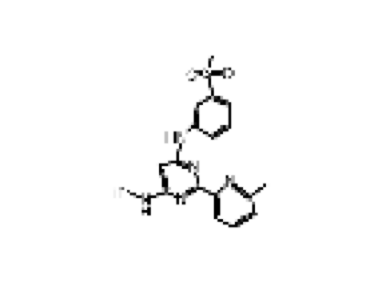 Cc1cccc(-c2nc(Nc3cccc(S(C)(=O)=O)c3)cc(NC(C)C)n2)n1